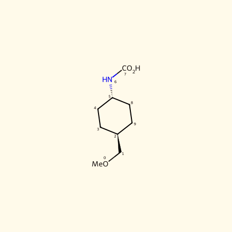 COC[C@H]1CC[C@H](NC(=O)O)CC1